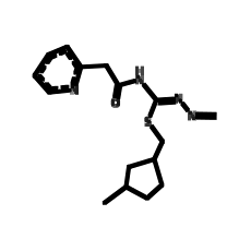 C=N/N=C(/NC(=O)Cc1ccccn1)SCC1CCC(C)C1